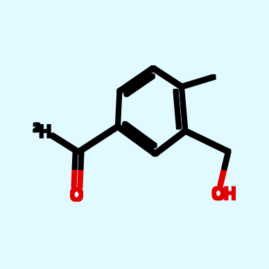 [2H]C(=O)c1ccc(C)c(CO)c1